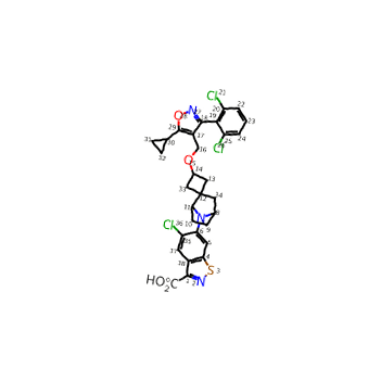 O=C(O)c1nsc2cc(N3C4CCC3C3(CC(OCc5c(-c6c(Cl)cccc6Cl)noc5C5CC5)C3)C4)c(Cl)cc12